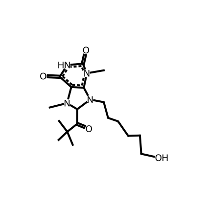 CN1c2c(n(C)c(=O)[nH]c2=O)N(CCCCCCO)C1C(=O)C(C)(C)C